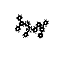 c1ccc(-c2cc(-c3ccccc3)cc(-c3cc(-c4nc(-c5ccccc5)nc(-c5cccc(-c6cccc7c6c6cc(-c8ccccc8)ccc6n7-c6ccccc6)c5)n4)ccn3)c2)cc1